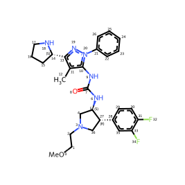 COCCN1C[C@@H](NC(=O)Nc2c(C)c([C@@H]3CCCN3)nn2-c2ccccc2)[C@H](c2ccc(F)c(F)c2)C1